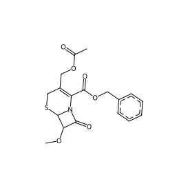 COC1C(=O)N2C(C(=O)OCc3ccccc3)=C(COC(C)=O)CSC12